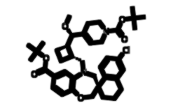 CO[C@@H](C1=CCN(C(=O)OC(C)(C)C)CC1)[C@@H]1CC[C@H]1CN1C[C@@]2(CCCc3cc(Cl)ccc32)COc2ccc(C(=O)OC(C)(C)C)cc21